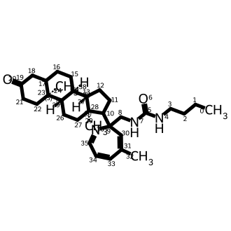 CCCCNC(=O)NCC1(C2CC[C@H]3[C@@H]4CCC5CC(=O)CC[C@]5(C)[C@H]4CC[C@]23C)C=C(C)C=CC=N1